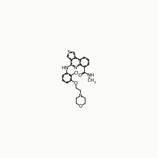 CNC(=O)c1cccc2c1nc(Nc1cccc(OCCN3CCOCC3)c1Cl)c1cscc12